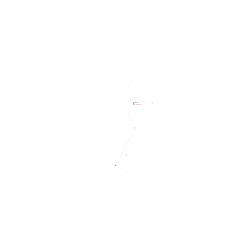 CCOC(=O)C=CC#CC(C)(C)C